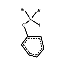 Br[Si](Br)(I)Oc1ccccc1